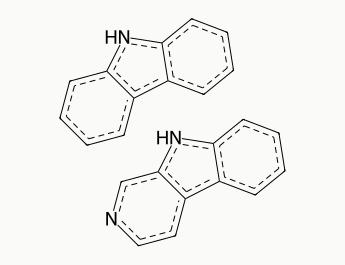 c1ccc2c(c1)[nH]c1ccccc12.c1ccc2c(c1)[nH]c1cnccc12